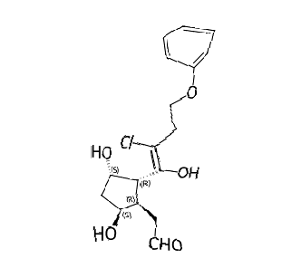 O=CC[C@@H]1[C@@H](C(O)=C(Cl)CCOc2ccccc2)[C@@H](O)C[C@@H]1O